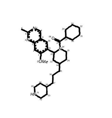 COc1cc2nc(C)ncc2cc1C1CC(CCCC2CCNCC2)CCN1C(=O)C1CCCCC1